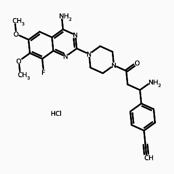 C#Cc1ccc(C(N)CC(=O)N2CCN(c3nc(N)c4cc(OC)c(OC)c(F)c4n3)CC2)cc1.Cl